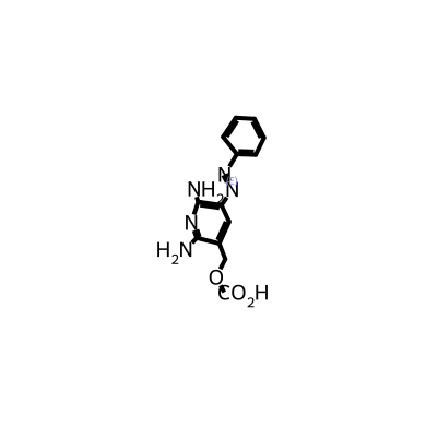 Nc1nc(N)c(/N=N/c2ccccc2)cc1COC(=O)O